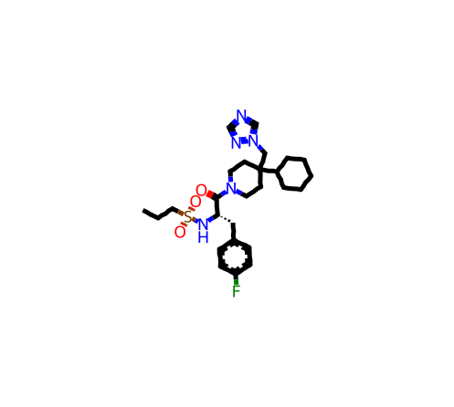 CCCS(=O)(=O)N[C@@H](Cc1ccc(F)cc1)C(=O)N1CCC(Cn2cncn2)(C2CCCCC2)CC1